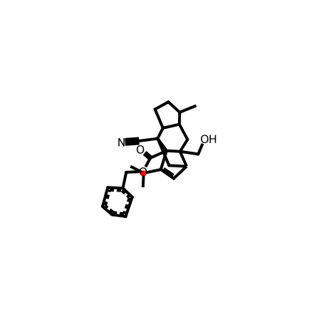 CC(C)C1=CC2CC3(C#N)C4CCC(C)C4CC2(CO)C13C(=O)OCc1ccccc1